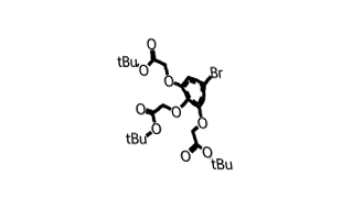 CC(C)(C)OC(=O)COc1cc(Br)cc(OCC(=O)OC(C)(C)C)c1OCC(=O)OC(C)(C)C